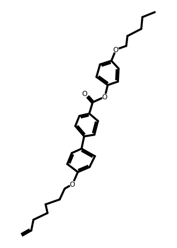 C=CCCCCCOc1ccc(-c2ccc(C(=O)Oc3ccc(OCCCCC)cc3)cc2)cc1